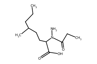 CCCC(C)CCC(C(=O)O)N(N)C(=O)CC